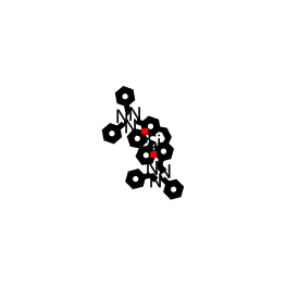 C1=Cc2ccc(-c3nc(-c4ccccc4)nc(-c4ccccc4)n3)cc2[Si](c2ccccc2)(c2ccccc2)c2cc(-c3nc(-c4ccccc4)nc(-c4ccccc4)n3)ccc21